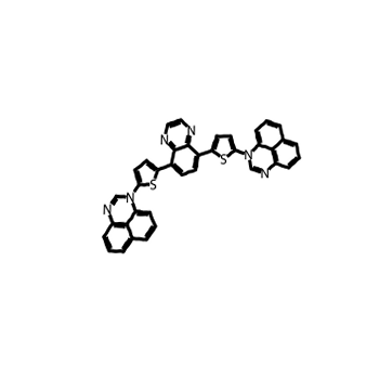 C1=Nc2cccc3cccc(c23)N1c1ccc(-c2ccc(-c3ccc(N4C=Nc5cccc6cccc4c56)s3)c3nccnc23)s1